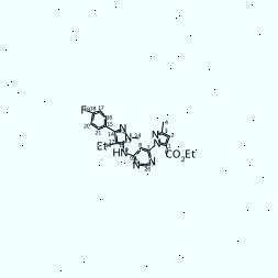 CCOC(=O)c1cc(C)nn1-c1cc(Nc2c(CC)c(-c3ccc(F)cc3)nn2C)ncn1